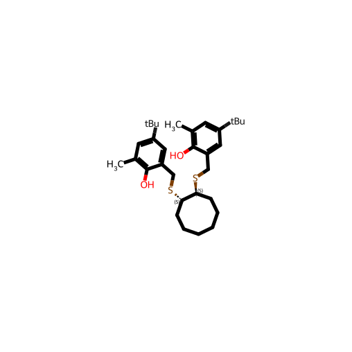 Cc1cc(C(C)(C)C)cc(CS[C@H]2CCCCCC[C@@H]2SCc2cc(C(C)(C)C)cc(C)c2O)c1O